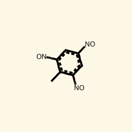 Cc1c(N=O)cc(N=O)cc1N=O